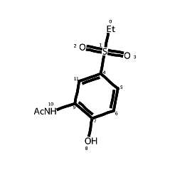 CCS(=O)(=O)c1ccc(O)c(NC(C)=O)c1